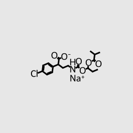 CCC(OC(=O)NCCC(C(=O)[O-])c1ccc(Cl)cc1)OC(=O)C(C)C.[Na+]